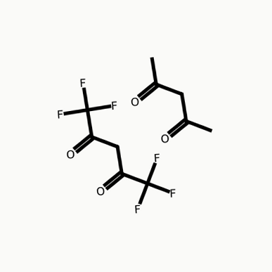 CC(=O)CC(C)=O.O=C(CC(=O)C(F)(F)F)C(F)(F)F